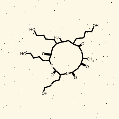 CC1CC(=O)C(CCCCO)CC(C)C(CCCCO)CC(=O)C(CCCCO)CC(=O)C(CCCCO)CC(=O)CC1=O